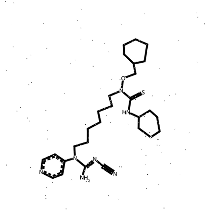 N#CN=C(N)N(CCCCCCCN(OCC1CCCCC1)C(=S)NC1CCCCC1)c1ccncc1